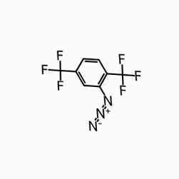 [N-]=[N+]=Nc1cc(C(F)(F)F)ccc1C(F)(F)F